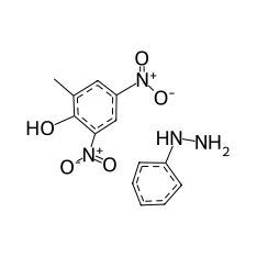 Cc1cc([N+](=O)[O-])cc([N+](=O)[O-])c1O.NNc1ccccc1